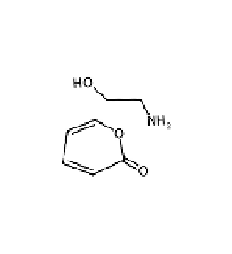 NCCO.O=c1cccco1